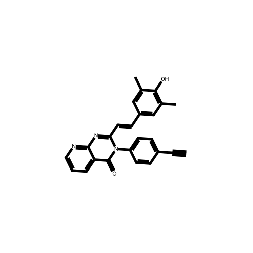 C#Cc1ccc(-n2c(/C=C/c3cc(C)c(O)c(C)c3)nc3ncccc3c2=O)cc1